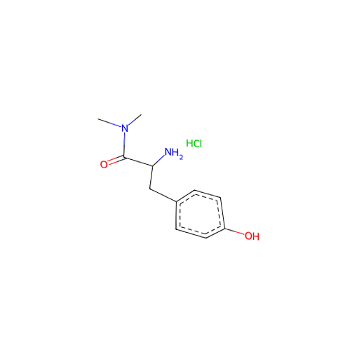 CN(C)C(=O)C(N)Cc1ccc(O)cc1.Cl